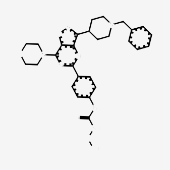 CONC(=O)Nc1ccc(-c2nc(N3CCOCC3)c3onc(C4CCN(Cc5ccccc5)CC4)c3n2)cc1